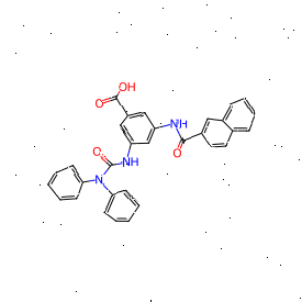 O=C(O)c1cc(NC(=O)c2ccc3ccccc3c2)cc(NC(=O)N(c2ccccc2)c2ccccc2)c1